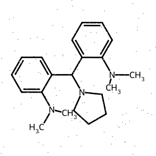 CN(C)c1ccccc1C(c1ccccc1N(C)C)N1CCCC1